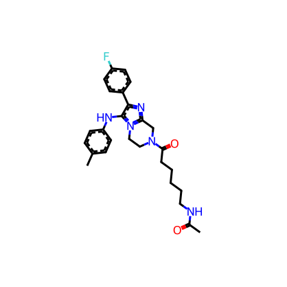 CC(=O)NCCCCCC(=O)N1CCn2c(nc(-c3ccc(F)cc3)c2Nc2ccc(C)cc2)C1